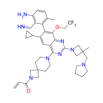 C=CC(=O)N1CC2(CCN(c3nc(N4CC(C)(CN5CCCC5)C4)nc4c(OCC(F)(F)F)c(-c5c(C)ccc(N)c5C=N)c(C5CC5)cc34)CC2)C1